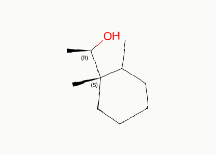 CC1CCCC[C@]1(C)[C@@H](C)O